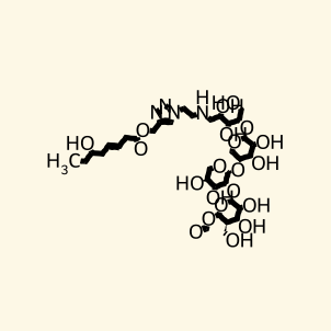 CCC(O)C/C=C/CC(=O)OCc1cn(CCNCC(O)C(O)C(CO)O[C@@H]2OC[C@@H](O[C@@H]3OC[C@@H](O)C(O)C3O[C@H]3OC(OC=O)[C@@H](CO)[C@H](O)C3O)[C@@H](O)C2O)nn1